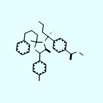 CC(C)OC(=O)c1ccc([C@@](N)(CCC(C)(C)C)N2C(=O)C(c3ccc(F)cc3)NC2(C)CCCc2ccccc2)cc1